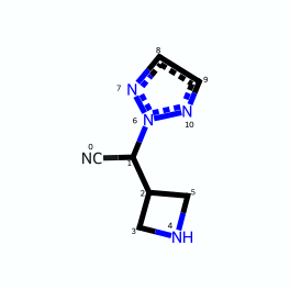 N#CC(C1CNC1)n1nccn1